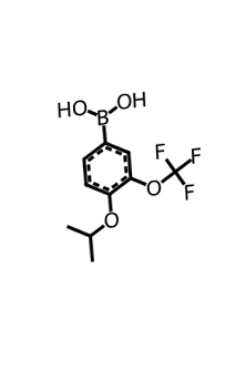 CC(C)Oc1ccc(B(O)O)cc1OC(F)(F)F